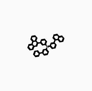 c1ccc(-c2cccc(N(c3cccc(-c4cccc5ccccc45)c3)c3cccc(-c4cc5ccccc5c5ccccc45)c3)c2)cc1